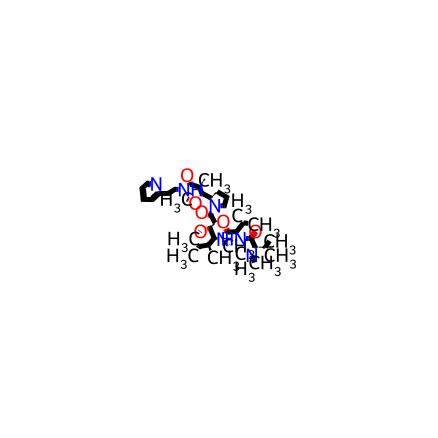 CC[C@H](C)[C@@H]([C@@H](CC(=O)N1CCC[C@H]1[C@H](OC)[C@@H](C)C(=O)NCCc1ccccn1)OC)N(C)C(=O)[C@@H](NC(=O)[C@H](C(C)C)N(C)C)C(C)C